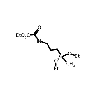 CCOC(=O)C(=O)NCCC[Si](C)(OCC)OCC